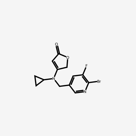 O=C1C=C(N(Cc2cnc(Br)c(F)c2)C2CC2)CO1